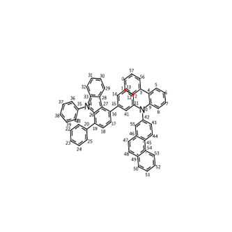 c1ccc(-c2ccccc2N(c2cccc(-c3ccc(-c4ccccc4)c4c3c3ccccc3n4-c3ccccc3)c2)c2ccc3c(ccc4ccccc43)c2)cc1